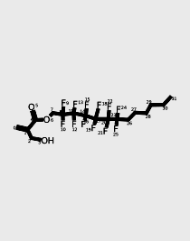 C=C(CO)C(=O)OCC(F)(F)C(F)(F)C(F)(F)C(F)(F)C(F)(F)C(F)(F)CCCCCC